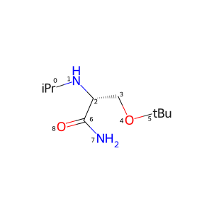 CC(C)N[C@H](COC(C)(C)C)C(N)=O